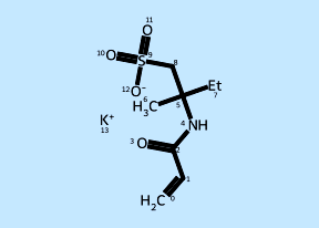 C=CC(=O)NC(C)(CC)CS(=O)(=O)[O-].[K+]